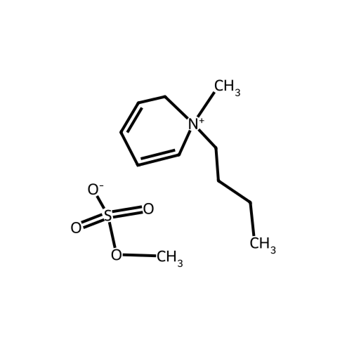 CCCC[N+]1(C)C=CC=CC1.COS(=O)(=O)[O-]